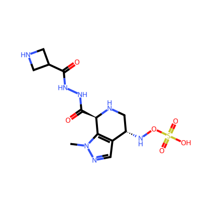 Cn1ncc2c1[C@@H](C(=O)NNC(=O)C1CNC1)NC[C@@H]2NOS(=O)(=O)O